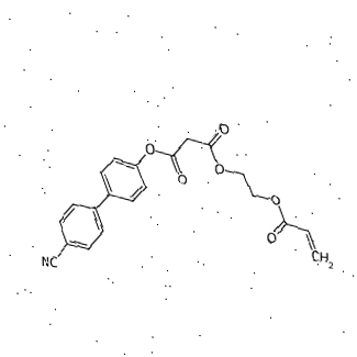 C=CC(=O)OCCOC(=O)CC(=O)Oc1ccc(-c2ccc(C#N)cc2)cc1